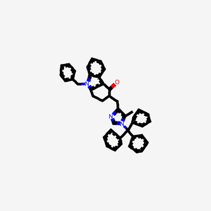 Cc1c(CC2CCc3c(c4ccccc4n3Cc3ccccc3)C2=O)ncn1C(c1ccccc1)(c1ccccc1)c1ccccc1